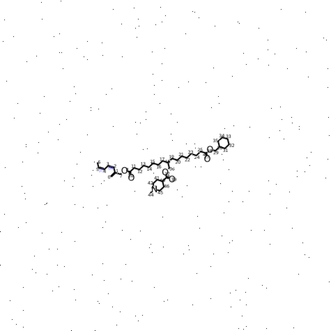 C=C(/C=C\C=C/C)COC(=O)CCCCCCCC(CCCCCCCC(=O)OCC1CCCCC1)COC(=O)C1CCN(C)CC1